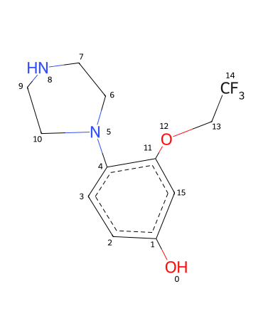 Oc1ccc(N2CCNCC2)c(OCC(F)(F)F)c1